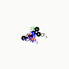 CC(C)(NC(=O)c1c(S(N)(=O)=O)nn2c(-c3ccc(C(F)(F)F)cc3)c(-c3ccccc3Cl)cnc12)c1ccccn1